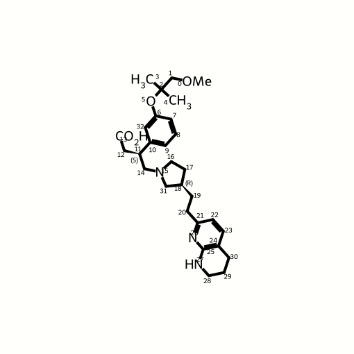 COCC(C)(C)Oc1cccc([C@H](CC(=O)O)CN2CC[C@@H](CCc3ccc4c(n3)NCCC4)C2)c1